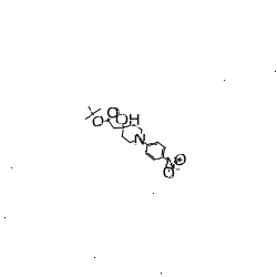 CC(C)(C)OC(=O)CC1(O)CCN(c2ccc([N+](=O)[O-])cc2)CC1